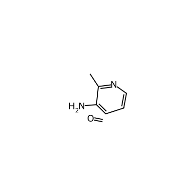 C=O.Cc1ncccc1N